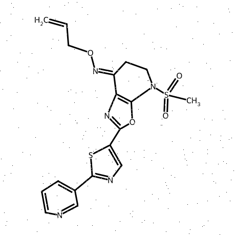 C=CCO/N=C1\CCN(S(C)(=O)=O)c2oc(-c3cnc(-c4cccnc4)s3)nc21